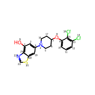 Oc1cc(N2CCC(Oc3cccc(Cl)c3Cl)CC2)cc2scnc12